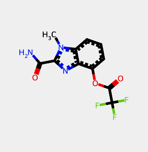 Cn1c(C(N)=O)nc2c(OC(=O)C(F)(F)F)cccc21